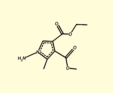 CCOC(=O)c1cn(N)c(C)c1C(=O)OC